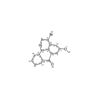 COc1cc2c3c(ncc(Br)c3c1)-c1ccccc1C2=O